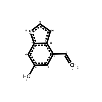 C=Cc1cc(O)cc2sc[c]c12